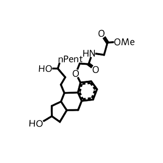 CCCCCC(O)CCC1c2c(cccc2OCC(=O)NCC(=O)OC)CC2CC(O)CC21